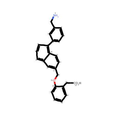 NCc1cccc(-c2cccc3cc(COc4ccccc4CC(=O)O)ccc23)c1